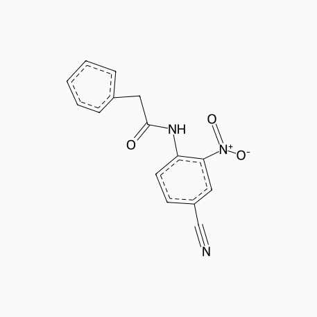 N#Cc1ccc(NC(=O)Cc2ccccc2)c([N+](=O)[O-])c1